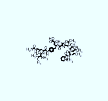 CCC[C@H](NC(=O)[C@H]1CCCCN1C)C(=O)N(CCC)[C@H](C[C@@H](OC(C)=O)c1nc(C(=O)N[C@@H](Cc2ccc(NC(=O)[C@H](CCCNC(N)=O)NC(=O)[C@@H](N)C(C)C)cc2)C[C@H](C)C(=O)O)cs1)C(C)C